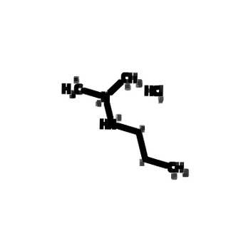 CCCNN(C)C.Cl